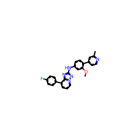 COc1cc(Nc2nc3c(-c4ccc(F)cc4)cccn3n2)ccc1-c1ccnc(C)c1